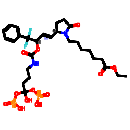 CCOC(=O)CCCCCCN1C(=O)CC[C@@H]1/C=C/[C@@H](OC(=O)NCCCC(O)(O[PH](=O)O)O[PH](=O)O)C(F)(F)c1ccccc1